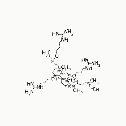 CC[C@@H](CC[C@@]1(C)CC[C@@H](OCCCNC(=N)N)C2[C@@H]1C[C@H](OCCCNC(=N)N)[C@]1(C)[C@@H]([C@H](C)CCCN(C)CC)CC[C@@H]21)OCCCNC(=N)N